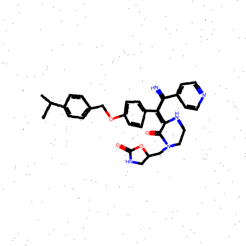 CC(C)c1ccc(COc2ccc(/C(C(=N)c3ccncc3)=C3/NCCN(CC4CNC(=O)O4)C3=O)cc2)cc1